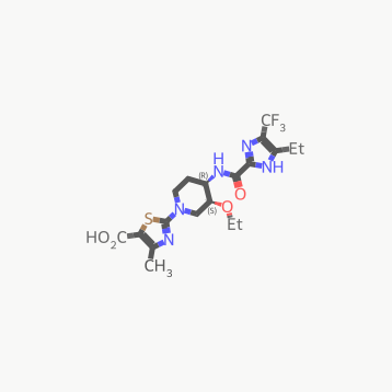 CCO[C@H]1CN(c2nc(C)c(C(=O)O)s2)CC[C@H]1NC(=O)c1nc(C(F)(F)F)c(CC)[nH]1